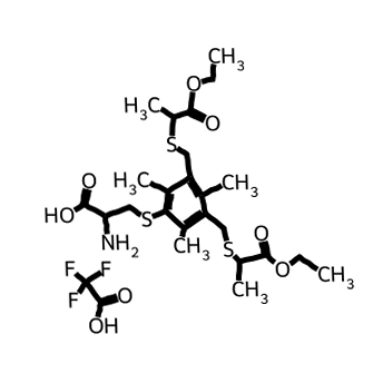 CCOC(=O)C(C)SCc1c(C)c(CSC(C)C(=O)OCC)c(C)c(SCC(N)C(=O)O)c1C.O=C(O)C(F)(F)F